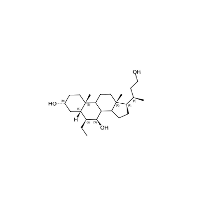 CC[C@@H]1[C@H](O)C2C3CC[C@H]([C@H](C)CCO)[C@@]3(C)CCC2[C@@]2(C)CC[C@@H](O)C[C@@H]12